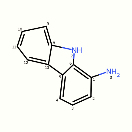 Nc1cccc2c1[nH]c1ccccc12